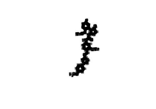 COCc1ccc(C)cc1N1C(=O)CSC1=NC(=O)Nc1ccc(COc2ncn(-c3ccc(OC(F)(F)F)cc3)n2)c(OC)c1